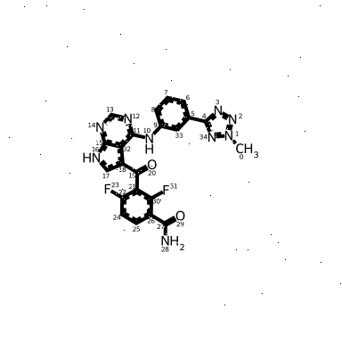 Cn1nnc(-c2cccc(Nc3ncnc4[nH]cc(C(=O)c5c(F)ccc(C(N)=O)c5F)c34)c2)n1